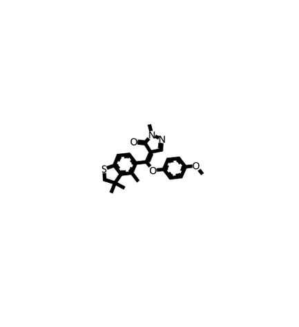 COc1ccc(OC(=C2C=NN(C)C2=O)c2ccc3c(c2C)C(C)(C)CS3)cc1